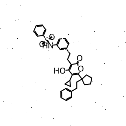 O=c1oc(C2(CCc3ccccc3)CCCC2)c(C2CC2)c(O)c1CCc1cccc(NS(=O)(=O)c2ccccc2)c1